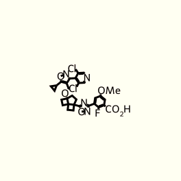 COc1cc(C(=O)O)c(F)c(-c2noc(C34CCC5(OCc6c(-c7c(Cl)cncc7Cl)noc6C6CC6)CCC53CC4)n2)c1